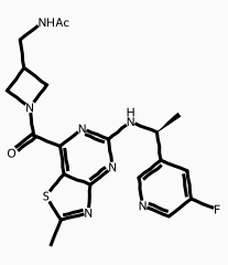 CC(=O)NCC1CN(C(=O)c2nc(N[C@@H](C)c3cncc(F)c3)nc3nc(C)sc23)C1